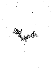 COc1cc(C(=O)NCc2ccc(-c3cccc(C(O)(C(=O)O)c4ccccc4)c3)s2)c(F)cc1CNCC(O)c1ccc(O)c2[nH]c(=O)ccc12